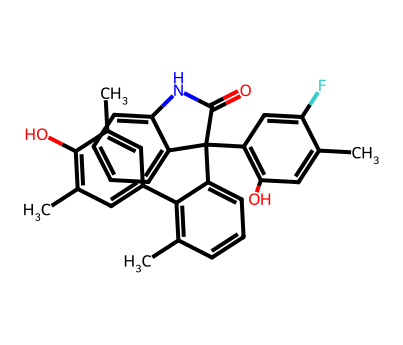 Cc1cc(O)c(C2(c3cccc(C)c3-c3cc(C)c(O)c(C)c3)C(=O)Nc3ccccc32)cc1F